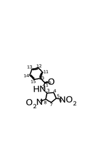 O=C(NC1CC([N+](=O)[O-])CC1[N+](=O)[O-])c1ccccc1